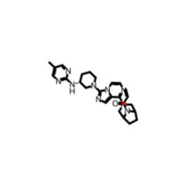 C=CC(=O)N1C2CCC1CN(c1nccn3c(N4CCC[C@@H](Nc5ncc(C)cn5)C4)ncc13)C2